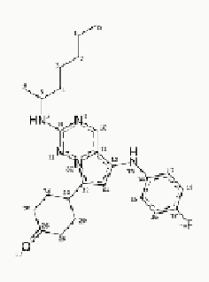 CCCCCC(C)Nc1ncc2c(Nc3ccc(F)cc3)cc(C3CCC(=O)CC3)n2n1